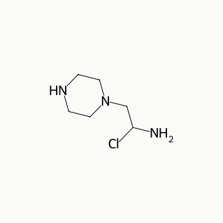 NC(Cl)CN1CCNCC1